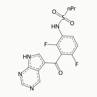 CCCS(=O)(=O)Nc1ccc(F)c(C(=O)c2c[nH]c3ncncc23)c1F